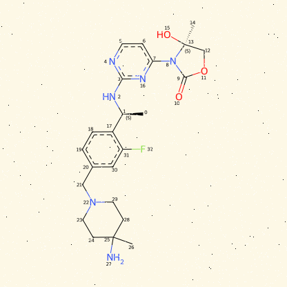 C[C@H](Nc1nccc(N2C(=O)OC[C@]2(C)O)n1)c1ccc(CN2CCC(C)(N)CC2)cc1F